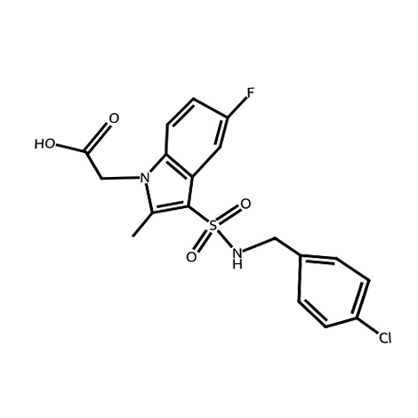 Cc1c(S(=O)(=O)NCc2ccc(Cl)cc2)c2cc(F)ccc2n1CC(=O)O